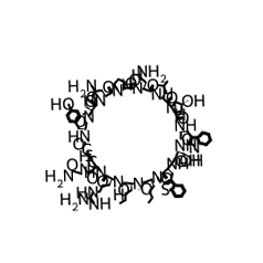 CCCC[C@H]1C(=O)N(C)[C@@H](CCCC)C(=O)N[C@@H](CCCNC(=N)N)C(=O)NC(C(=O)NCC(N)=O)CSCC(=O)N[C@@H](Cc2ccc(O)cc2)C(=O)N(C)[C@@H](C)C(=O)N[C@@H](CC(N)=O)C(=O)N2CCC[C@H]2C(=O)N[C@@H](CC(N)=O)C(=O)N[C@@H](CC(C)C)C(=O)N2C[C@H](O)C[C@H]2C(=O)N[C@@H](Cc2c[nH]c3ccccc23)C(=O)N[C@@H](CO)C(=O)N[C@@H](Cc2csc3ccccc23)C(=O)N1C